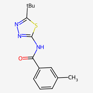 Cc1cccc(C(=O)Nc2nnc(C(C)(C)C)s2)c1